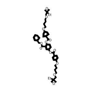 CCC1(COCCCCOc2ccc(C(=O)Oc3ccc(OC(=O)c4ccc(OCCCCOCC5(CC)COC5)cc4)c(C(=O)OCc4ccccc4)c3)cc2)COC1